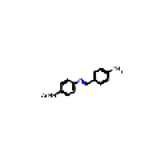 CC(=O)Nc1ccc(/N=C/c2ccc(C)cc2)cc1